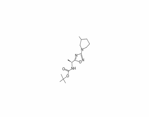 CC1CCCN(c2noc([C@H](C)NC(=O)OC(C)(C)C)n2)C1